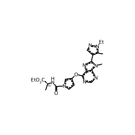 CCOC(=O)[C@H](C)NC(=O)n1ccc(Oc2ncnc3c2nc(-c2cnn(CC)c2C)n3C)c1